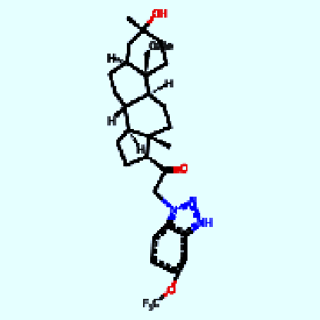 COC[C@]12CC[C@@](C)(O)C[C@@H]1CC[C@H]1[C@@H]3CC[C@H](C(=O)C[n+]4n[nH]c5cc(OC(F)(F)F)ccc54)[C@@]3(C)CC[C@@H]12